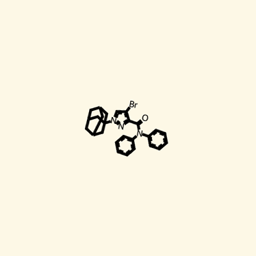 O=C(c1nn(C23CC4CC(CC(C4)C2)C3)cc1Br)N(c1ccccc1)c1ccccc1